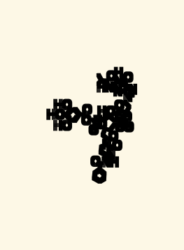 CC(C)C(=O)Nc1nc2c(ncn2C2CC(OP(=O)(OCCC#N)OCC3OC(n4ccc(NC(=O)c5ccccc5)nc4=O)CC3OC(=O)COC(=O)c3cc(O)c(O)c(O)c3)C(CO)O2)c(=O)[nH]1